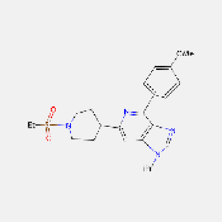 CCS(=O)(=O)N1CCC(c2cc3c(ncn3C(C)C)c(-c3ccc(OC)cc3)n2)CC1